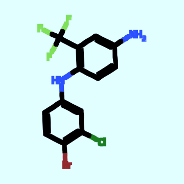 Nc1ccc(Nc2ccc(Br)c(Cl)c2)c(C(F)(F)F)c1